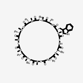 CC[C@H](C)[C@H]1C(=O)NCC(=O)N(C)[C@@H](Cc2c[nH]c3ccccc23)C(=O)N[C@@H](C(C)C)C(=O)N(C)[C@@H]([C@@H](C)CC)C(=O)N(C)[C@@H](C(C)C)C(=O)ON(C)[C@@H](C(C)C)C(=O)N(C)CC(=O)N(C)[C@@H](C(C)C)C(=O)N(C)[C@@H]([C@@H](C)CC)C(=O)N(C)CC(=O)N[C@@H](C(C)C)C(=O)N1C